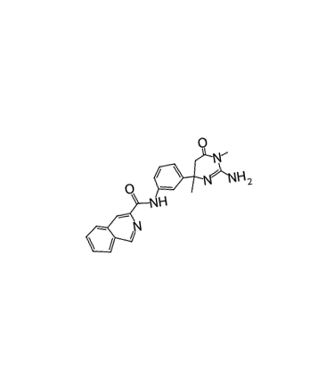 CN1C(=O)CC(C)(c2cccc(NC(=O)c3cc4ccccc4cn3)c2)N=C1N